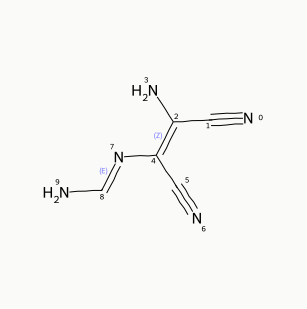 N#C/C(N)=C(C#N)/N=C/N